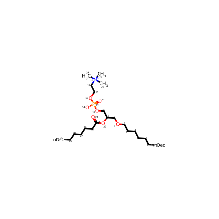 CCCCCCCCCCCCCCCCOCC(COP(=O)([O-])OCC[N+](C)(C)C)OC(=O)CCCCCCCCCCCCCCC